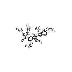 CC[C@H]1CN(C(=O)c2cc(OC)c3c(c2)nc(-c2cc4ccc(OC)nc4n2CC)n3C)[C@@H](C)[C@H]1N